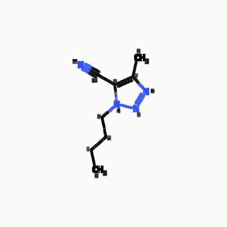 CCCCn1nnc(C)c1C#N